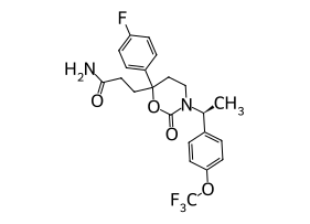 C[C@@H](c1ccc(OC(F)(F)F)cc1)N1CCC(CCC(N)=O)(c2ccc(F)cc2)OC1=O